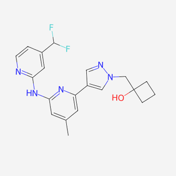 Cc1cc(Nc2cc(C(F)F)ccn2)nc(-c2cnn(CC3(O)CCC3)c2)c1